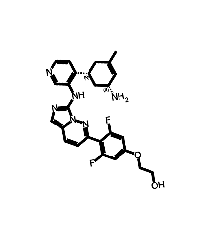 CC1=C[C@H](N)C[C@H](c2ccncc2Nc2ncc3ccc(-c4c(F)cc(OCCO)cc4F)nn23)C1